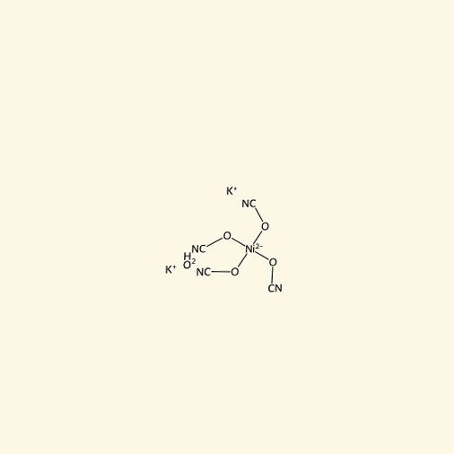 N#C[O][Ni-2]([O]C#N)([O]C#N)[O]C#N.O.[K+].[K+]